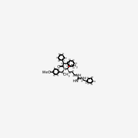 COc1ccc([C@@H](C)N(C(=O)C(c2ccccc2)c2ccccc2)[C@H](CCCNC(=N)NCc2ccccc2)C(N)=O)cc1